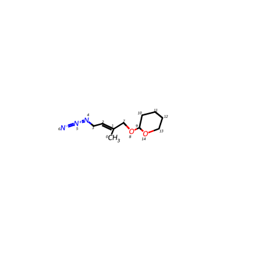 C/C(=C\CN=[N+]=[N-])COC1CCCCO1